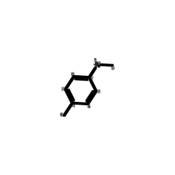 C[N]c1ccc(C)cc1